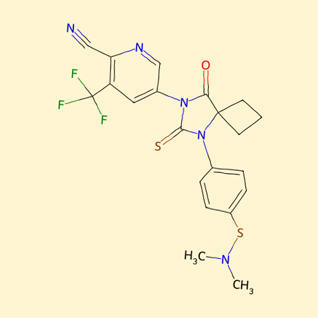 CN(C)Sc1ccc(N2C(=S)N(c3cnc(C#N)c(C(F)(F)F)c3)C(=O)C23CCC3)cc1